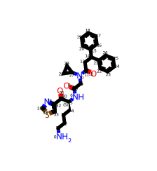 NCCCC[C@H](NC(=O)CN(C(=O)CC(c1ccccc1)c1ccccc1)C1CC1)C(=O)c1cs[c]n1